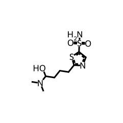 CN(C)C(O)CCCc1ncc(S(N)(=O)=O)s1